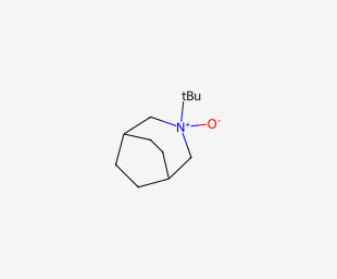 CC(C)(C)[N+]1([O-])CC2CCC(CC2)C1